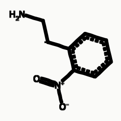 NC[CH]c1ccccc1[N+](=O)[O-]